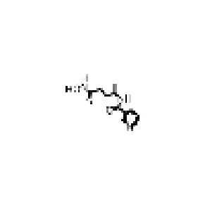 CC(CCC(=S)NO)NC(=O)c1cccnc1